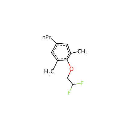 [CH2]CCc1cc(C)c(OCC(F)F)c(C)c1